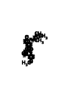 COc1ccc(CN(c2ccon2)S(=O)(=O)c2ccc3c(ccc(=O)n3C/C=C(/C)CC(C)OC)c2)cc1